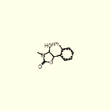 CCCc1ccccc1C1OC(=O)N(C)C1O